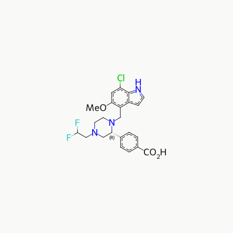 COc1cc(Cl)c2[nH]ccc2c1CN1CCN(CC(F)F)C[C@H]1c1ccc(C(=O)O)cc1